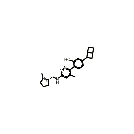 Cc1cc(NC[C@@H]2CCCN2C)nnc1-c1ccc(C2CC3CCC32)cc1O